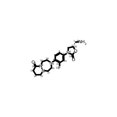 NC[C@H]1CN(c2ccc(N3CCN4CCCC(=O)N4CC3)c(F)c2)C(=O)O1